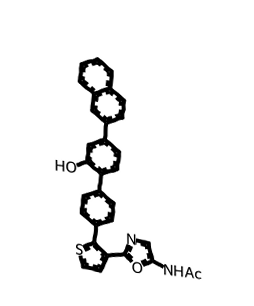 CC(=O)Nc1cnc(-c2ccsc2-c2ccc(-c3ccc(-c4ccc5ccccc5c4)cc3O)cc2)o1